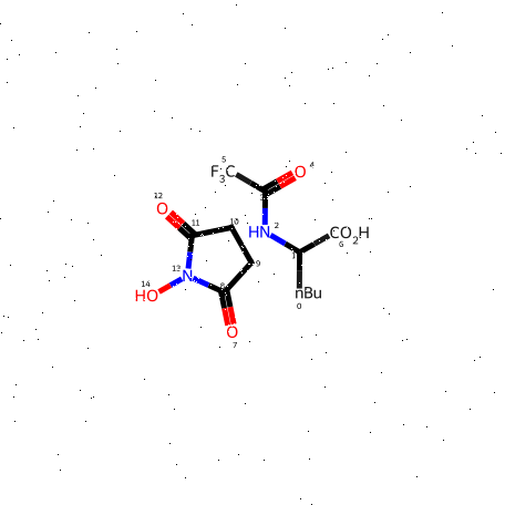 CCCCC(NC(=O)C(F)(F)F)C(=O)O.O=C1CCC(=O)N1O